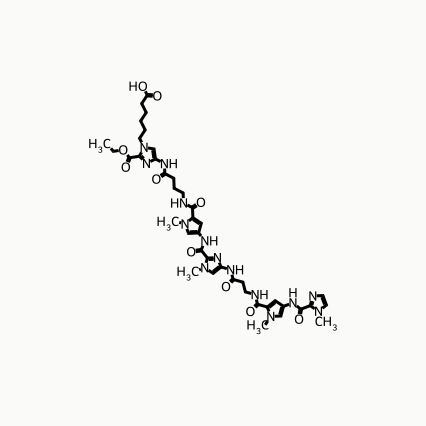 CCOC(=O)c1nc(NC(=O)CCCNC(=O)c2cc(NC(=O)c3nc(NC(=O)CCNC(=O)c4cc(NC(=O)c5nccn5C)cn4C)cn3C)cn2C)cn1CCCCCC(=O)O